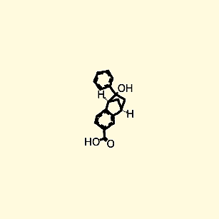 O=C(O)c1ccc2c(c1)[C@H]1C[C@@H]2[C@](O)(c2ccccc2)C1